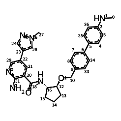 CNc1ccc(-c2ccc(CO[C@H]3CCC[C@@H]3NC(=O)c3cc(-c4cnn(C)c4)cnc3N)cc2)cc1